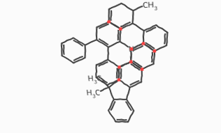 CC1CC=CC=C1c1ccccc1N(c1ccc2c(c1)C(C)(C)c1ccccc1-2)c1cccc(-c2ccccc2)c1-c1ccccc1-c1ccccc1